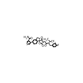 CC(N(Cc1ccc(F)cc1)C(=O)CN1C(=O)O[C@@]2(CCc3cc(-c4cscc4C(N)=O)ccc32)C1=O)C(F)(F)F